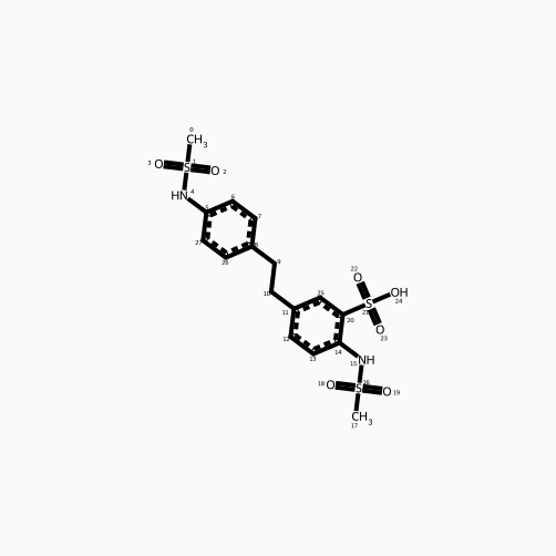 CS(=O)(=O)Nc1ccc(CCc2ccc(NS(C)(=O)=O)c(S(=O)(=O)O)c2)cc1